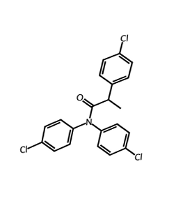 CC(C(=O)N(c1ccc(Cl)cc1)c1ccc(Cl)cc1)c1ccc(Cl)cc1